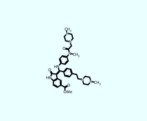 COC(=O)c1ccc2c(c1)/C(=C(/Nc1ccc(N(C)C(=O)CN3CCN(C)CC3)cc1)c1ccc(CCN3CCN(C)CC3)cc1)C(=O)N2